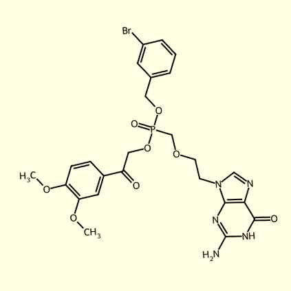 COc1ccc(C(=O)COP(=O)(COCCn2cnc3c(=O)[nH]c(N)nc32)OCc2cccc(Br)c2)cc1OC